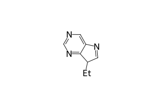 CCC1C=Nc2cncnc21